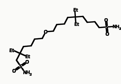 CCC(CC)(CCCCOCCCCC(CC)(CC)CS(N)(=O)=O)CCCCS(N)(=O)=O